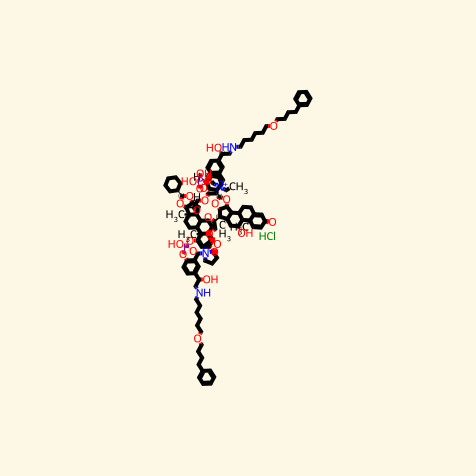 CC[N+](CC)(CC(=O)OCC(=O)[C@@]12O[C@H](C3CCCCC3)O[C@H]1CC1C3CCC4=CC(=O)C=C(OP(=O)(O)Oc5ccc(C(O)CNCCCCCCOCCCCc6ccccc6)cc5C[N+]5(CC(=O)OCC(=O)[C@H]6C7O[C@H](C8CCCCC8)OC7C7C8CCC9=CC(=O)C=C[C@]9(C)C8[C@@H](O)C[C@@]76C)CCCC5)[C@]4(C)C3CC[C@@]12C)Cc1cc([C@H](O)CNCCCCCCOCCCCc2ccccc2)ccc1OP(=O)(O)O.Cl